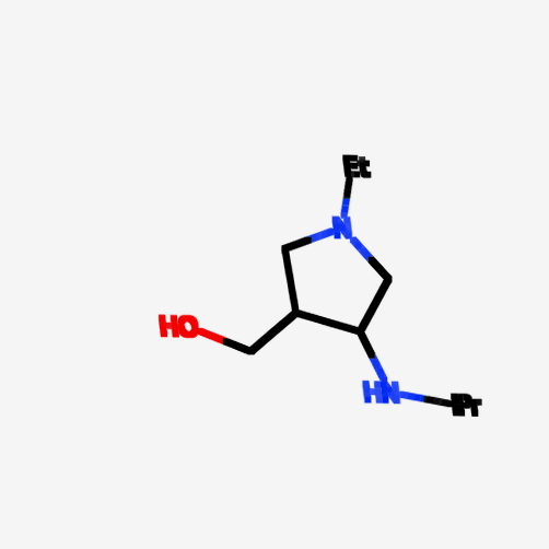 CCN1CC(CO)C(NC(C)C)C1